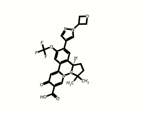 CC1(C)CC[C@@H]2c3cc(-c4cnn(C5COC5)c4)c(OC(F)(F)F)cc3-c3cc(=O)c(C(=O)O)cn3N21